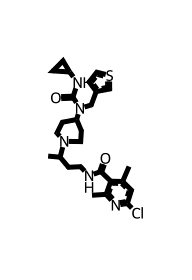 Cc1cc(Cl)nc(C)c1C(=O)NCCC(C)N1CCC(N(Cc2ccsc2)C(=O)NC2CC2)CC1